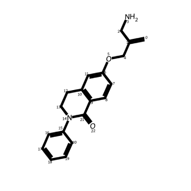 C=C(CN)COc1ccc2c(c1)CCN(c1ccccc1)C2=O